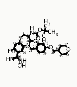 CC(C)(C)OC(=O)N[C@H]1CSc2cc(F)c(C(=N)NO)cc2N(Cc2ccc(OCC3CCOCC3)cc2)C1=O